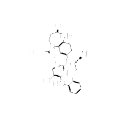 CC(=O)N1CCC(=O)NC2=C1C=C(Nc1ncc(Cl)c(Nc3ccccc3OCCC#N)n1)CC2